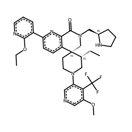 CCOc1ncccc1-c1ccc2c(n1)C(=O)N(C[C@H]1CCCN1)C[C@]21CCN(c2cncc(OC)c2C(F)(F)F)C[C@H]1CC